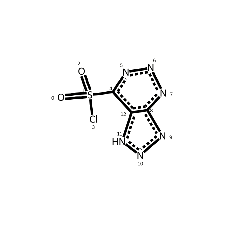 O=S(=O)(Cl)c1nnnc2nn[nH]c12